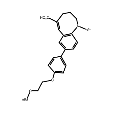 CCCCOCCOc1ccc(-c2ccc3c(c2)/C=C(/C(=O)O)CCCN3CCC)cc1